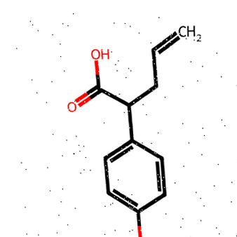 C=CCC(C(=O)O)c1ccc(O)cc1